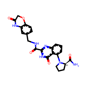 NC(=O)[C@H]1CCCN1c1cccc2nc(C(=O)NCc3ccc4c(c3)NC(=O)CO4)[nH]c(=O)c12